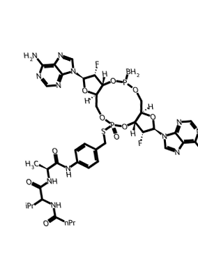 BP1OC[C@H]2O[C@@H](n3cnc4c(N)ncnc43)[C@H](F)[C@@H]2OP(=O)(SCc2ccc(NC(=O)[C@H](C)NC(=O)C(NC(=O)CCC)C(C)C)cc2)OC[C@H]2O[C@@H](n3cnc4c(N)ncnc43)[C@H](F)[C@@H]2O1